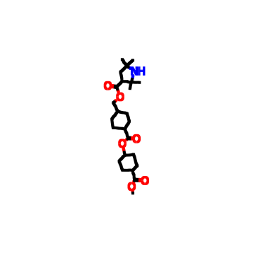 COC(=O)C1CCC(OC(=O)C2CCC(COC(=O)C3CC(C)(C)NC3(C)C)CC2)CC1